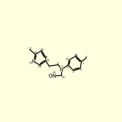 Cc1ccc(N(CCc2ccc(C)nc2)CN=O)cc1